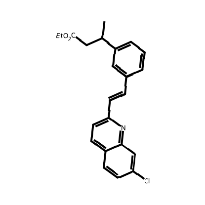 CCOC(=O)CC(C)c1cccc(C=Cc2ccc3ccc(Cl)cc3n2)c1